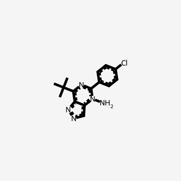 CC(C)(C)c1nc(-c2ccc(Cl)cc2)n(N)c2cnnc1-2